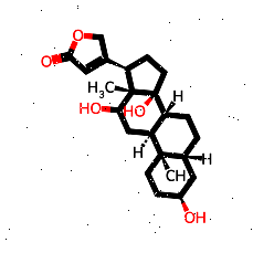 C[C@]12CC[C@H](O)C[C@H]1CC[C@@H]1[C@@H]2CC(O)[C@]2(C)[C@@H](C3=CC(=O)OC3)CC[C@]12O